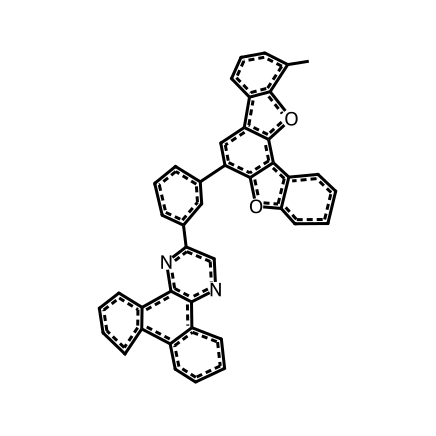 Cc1cccc2c1oc1c2cc(-c2cccc(-c3cnc4c5ccccc5c5ccccc5c4n3)c2)c2oc3ccccc3c21